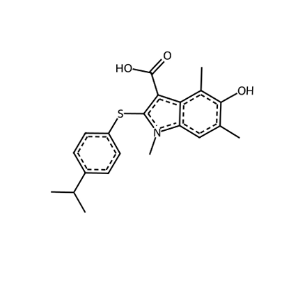 Cc1cc2c(c(C)c1O)c(C(=O)O)c(Sc1ccc(C(C)C)cc1)n2C